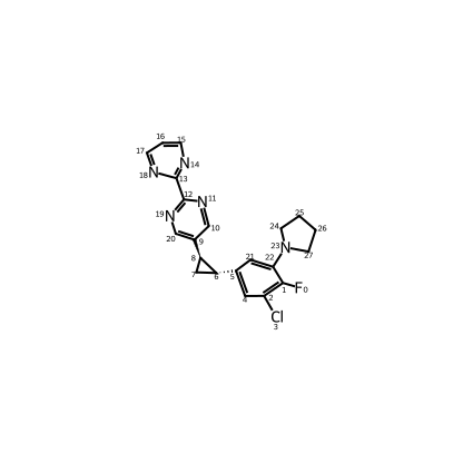 Fc1c(Cl)cc([C@@H]2C[C@H]2c2cnc(-c3ncccn3)nc2)cc1N1CCCC1